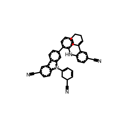 N#Cc1ccc(Nc2ccccc2-c2ccc3c4cc(C#N)ccc4n(C4=CC=CC(C#N)C4)c3c2)c(C2=CCCC=C2)c1